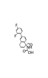 O=C[C@]1(NC(=O)O)C=CCc2cc(-c3ccc(F)cc3F)ccc21